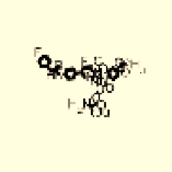 CC(C)(C)C(N)C(=O)OCOC(=O)N(c1nc2ccc(-c3ccc(NC(=O)Cc4ccc(F)cc4)cc3)cn2n1)c1ccc(S(C)(=O)=O)cc1OCC(F)(F)F